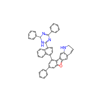 C1=Cc2cc3oc4cc(-c5ccccc5)cc(-c5ccc(C6=NC(c7ccccc7)=NC(c7ccccc7)N6)c6ccccc56)c4c3cc2NC1